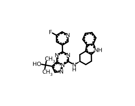 CC(C)(O)c1cnn2c(N[C@@H]3CCc4[nH]c5ccccc5c4C3)nc(-c3cncc(F)c3)nc12